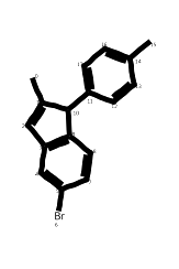 CC1=Cc2cc(Br)ccc2C1c1ccc(C)cc1